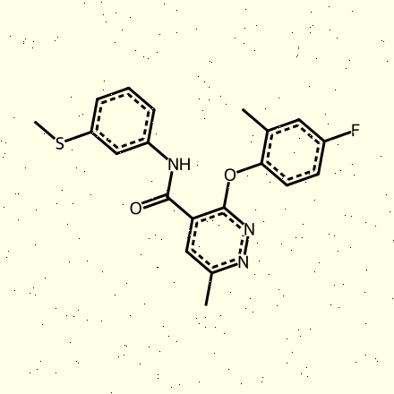 CSc1cccc(NC(=O)c2cc(C)nnc2Oc2ccc(F)cc2C)c1